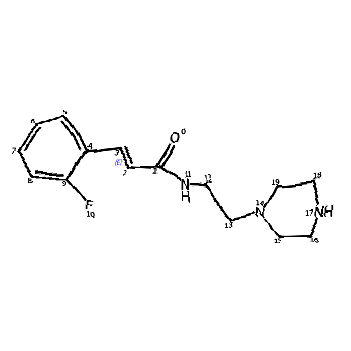 O=C(/C=C/c1ccccc1F)NCCN1CCNCC1